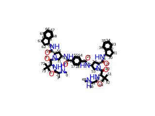 CN[C@@H](C)C(=O)N[C@H](C(=O)N1C[C@@H](NC(=O)c2ccc(C(=O)N[C@H]3C[C@@H](C(=O)N[C@@H]4CCc5ccccc54)N(C(=O)[C@@H](NC(=O)[C@H](C)NC)C(C)(C)C)C3)cc2)C[C@H]1C(=O)N[C@@H]1CCc2ccccc21)C(C)(C)C